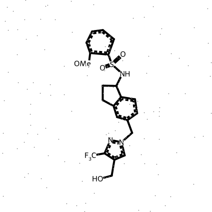 COc1ccccc1S(=O)(=O)NC1CCc2cc(Cn3cc(CO)c(C(F)(F)F)n3)ccc21